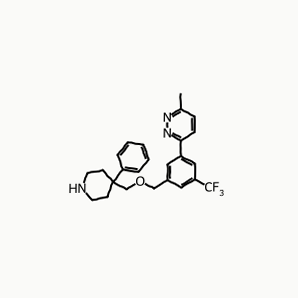 Cc1ccc(-c2cc(COCC3(c4ccccc4)CCNCC3)cc(C(F)(F)F)c2)nn1